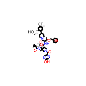 C[C@@H](OCC12CCC(CC1)OC2)[C@H](NC(=O)[C@@H]1CN(C(=O)c2cnc(O)cn2)CC12CN(C(=O)C1(C(F)(F)F)CC1)C2)C(=O)N1CCC(c2ccc(C(F)(F)F)cc2C(=O)O)CC1